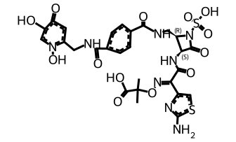 CC(C)(ON=C(C(=O)N[C@@H]1C(=O)N(S(=O)(=O)O)[C@@H]1CNC(=O)c1ccc(C(=O)NCc2cc(=O)c(O)cn2O)cc1)c1csc(N)n1)C(=O)O